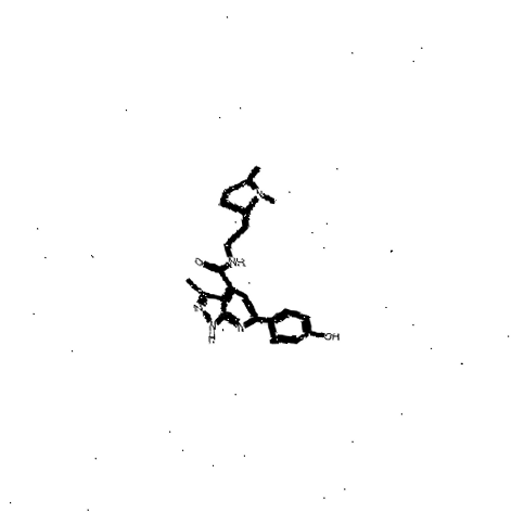 Cc1n[nH]c2nc(-c3ccc(O)cc3)cc(C(=O)NCCC3CCC(C)N3C)c12